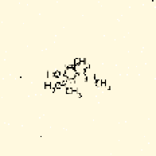 CCCCc1cc(C(C)C)c(O)cc1C